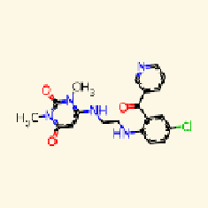 Cn1c(NCCNc2ccc(Cl)cc2C(=O)c2cccnc2)cc(=O)n(C)c1=O